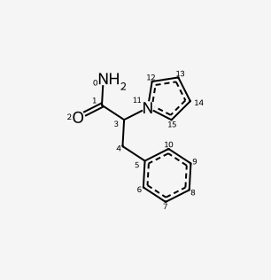 NC(=O)C(Cc1ccccc1)n1cccc1